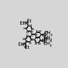 CCN(CC)c1ccc(C(=C2C=CC(=[N+](C)C)c3c2cccc3N(C)C)c2ccc(N(CC)CC)cc2)cc1